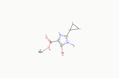 Cn1c(C2CC2)nc(C(=O)OC(C)(C)C)c1Br